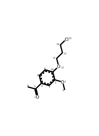 COc1cc(C(C)=O)ccc1OCCCCl